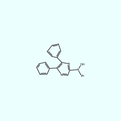 CC(C)N(O)c1cnc(-c2ccccc2)c(-c2ccccc2)n1